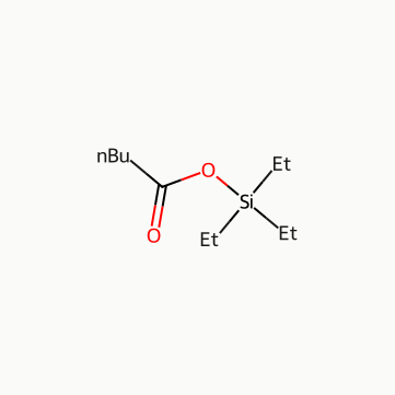 [CH2]CCCC(=O)O[Si](CC)(CC)CC